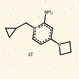 Nc1cc(N2CCC2)cc[n+]1CC1CC1.[Cl-]